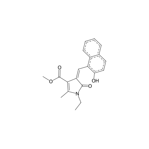 CCN1C(=O)/C(=C\c2c(O)ccc3ccccc23)C(C(=O)OC)=C1C